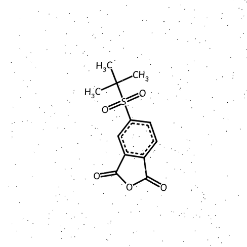 CC(C)(C)S(=O)(=O)c1ccc2c(c1)C(=O)OC2=O